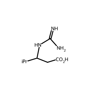 CC(C)C(CC(=O)O)NC(=N)N